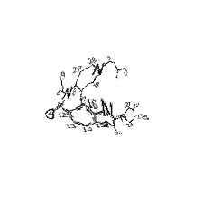 CCCN1CCC(N(CC)C(=O)c2ccc3c(c2)nc(N2CCCC2)n3C)CC1